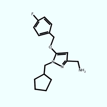 NCc1cc(OCc2ccc(F)cc2)n(CC2CCCC2)n1